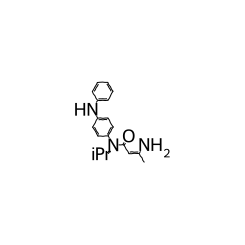 CC(N)=CC(=O)N(c1ccc(Nc2ccccc2)cc1)C(C)C